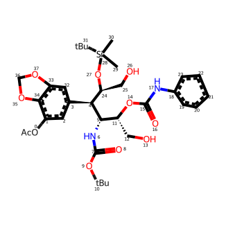 CC(=O)Oc1cc([C@H]([C@@H](NC(=O)OC(C)(C)C)[C@@H](CO)OC(=O)Nc2ccccc2)[C@H](CO)O[Si](C)(C)C(C)(C)C)cc2c1OCO2